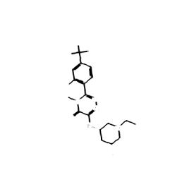 CCN1C[C@H](C)C[C@@H](Nc2nnc(-c3ccc(C(F)(F)F)cc3O)n(C)c2=O)C1